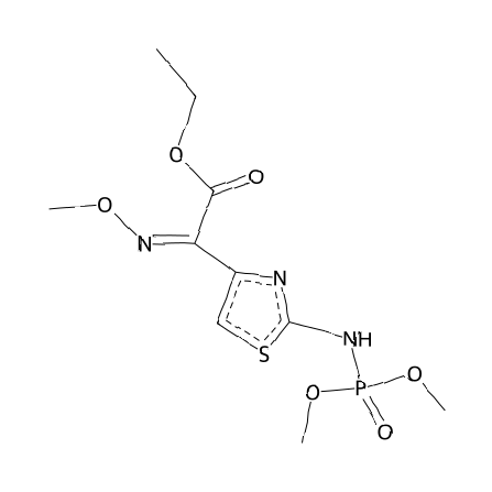 CCOC(=O)C(=NOC)c1csc(NP(=O)(OC)OC)n1